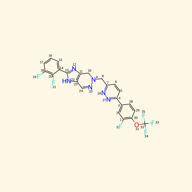 Fc1cc(-c2ccc(CN3Cc4nc(-c5cccc(F)c5F)[nH]c4C=N3)nn2)ccc1OC(F)(F)F